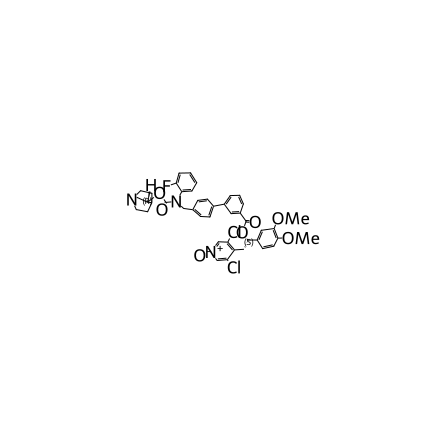 COc1ccc([C@H](Cc2c(Cl)c[n+]([O-])cc2Cl)OC(=O)c2cccc(-c3ccc(CN(C(=O)O[C@H]4CN5CCC4CC5)c4ccccc4F)cc3)c2)cc1OC